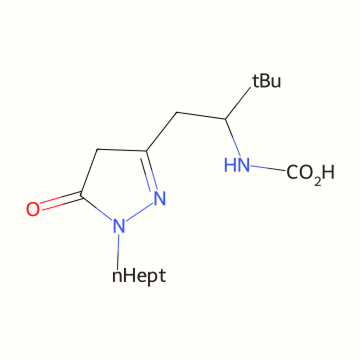 CCCCCCCN1N=C(CC(NC(=O)O)C(C)(C)C)CC1=O